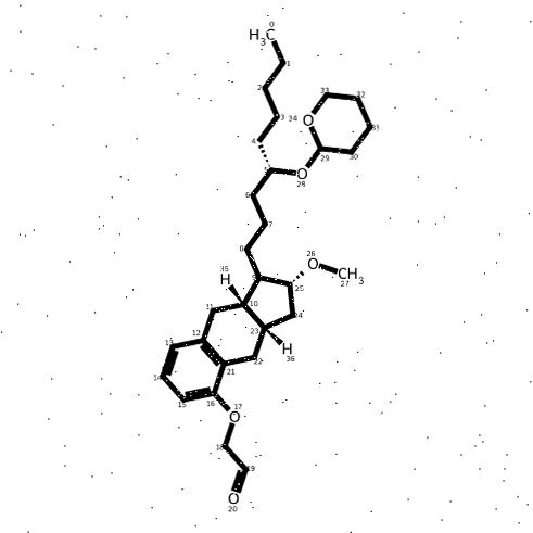 CCCCC[C@@H](CCCC1[C@H]2Cc3cccc(OCC=O)c3C[C@H]2C[C@H]1OC)OC1CCCCO1